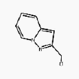 ClCc1cc2ccccn2n1